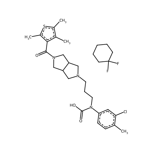 Cc1ccc(N(CCCN2CC3CN(C(=O)c4c(C)sc(C)c4C)CC3C2)C(=O)O)cc1Cl.FC1(F)CCCCC1